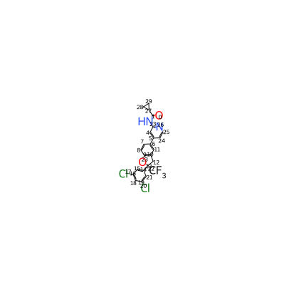 O=C(Nc1cc(-c2ccc3c(c2)CC(c2cc(Cl)cc(Cl)c2)(C(F)(F)F)O3)ccn1)C1CC1